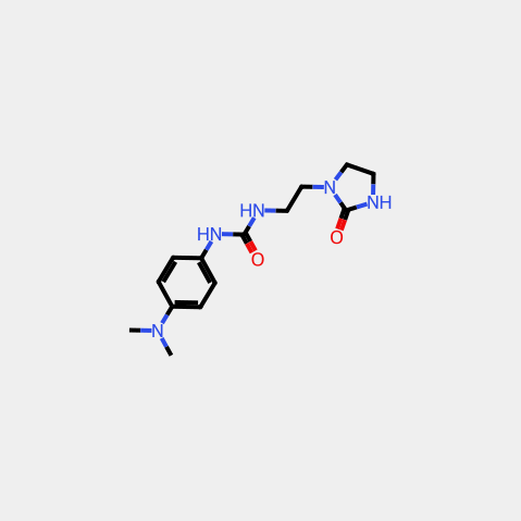 CN(C)c1ccc(NC(=O)NCCN2CCNC2=O)cc1